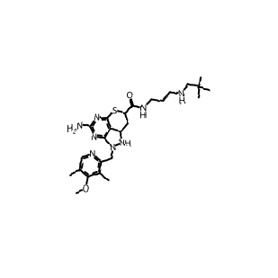 COc1c(C)cnc(CN2NC3CC(C(=O)NCCCNCC(C)(C)C)Sc4nc(N)nc2c43)c1C